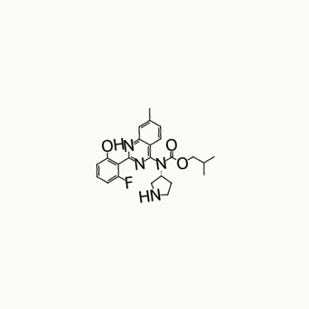 Cc1ccc2c(N(C(=O)OCC(C)C)[C@@H]3CCNC3)nc(-c3c(O)cccc3F)nc2c1